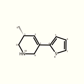 C[C@@H]1C=C(c2cccs2)CNC1